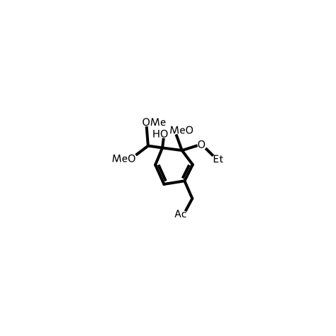 CCOC1(OC)C=C(CC(C)=O)C=CC1(O)C(OC)OC